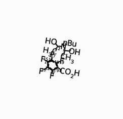 CCCCN(C(C)O)C(C)O.O=C(O)c1c(F)c(F)c(F)c(F)c1F